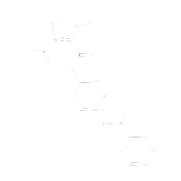 Cc1cc(NC(=O)c2c(C(=O)O)ncn2C)ccc1NC(=O)c1ccccc1Cl